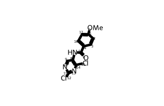 COc1ccc(C(=O)Nc2cnc(Cl)nc2Cl)cc1